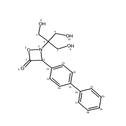 O=C1ON(C(CO)(CO)CO)C1c1ccc(-c2ccccc2)cc1